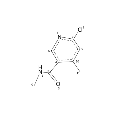 CNC(=O)c1cnc(Cl)cc1C